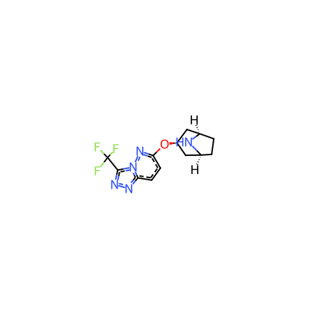 FC(F)(F)c1nnc2ccc(O[C@H]3C[C@H]4CC[C@@H](C3)N4)nn12